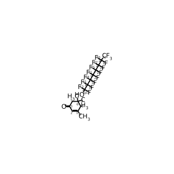 CC1=CC(=O)CC(C)(C)C1.OC(F)(F)C(F)(F)C(F)(F)C(F)(F)C(F)(F)C(F)(F)C(F)(F)C(F)(F)F